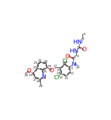 CCNC(=O)NCC(=O)N(C)c1ccc(Cl)c(COc2cccc3c(OC)cc(C)nc23)c1Cl